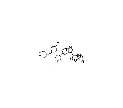 CC(C)S(=O)(=O)NC(=O)c1cnn2ccc(N3C[C@@H](F)C[C@@H]3c3cc(F)ccc3OC3CCOCC3)cc12